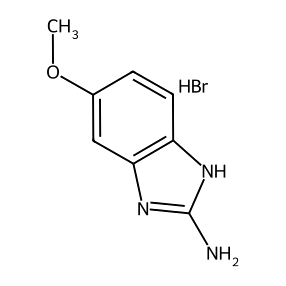 Br.COc1ccc2[nH]c(N)nc2c1